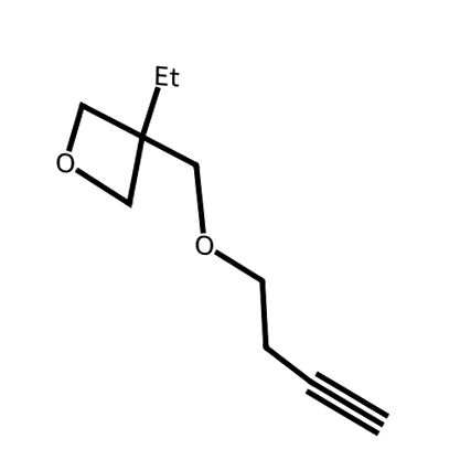 C#CCCOCC1(CC)COC1